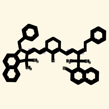 CCc1ccc2ccccc2c1C(C)(C)C(/C=C/C1=C(Cl)C(=C/C=C2/N(Cc3ccccc3)c3ccc4ccccc4c3C2(C)C)/CCC1)=N/Cc1ccccc1